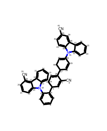 N#CC1=CC(c2ccccc2-n2c3ccccc3c3c(C#N)cccc32)CC=C1C1C=CC(n2c3ccccc3c3cc(C#N)ccc32)=CC1